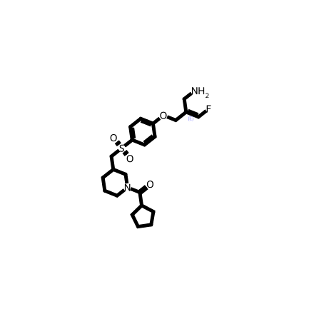 NC/C(=C\F)COc1ccc(S(=O)(=O)CC2CCCN(C(=O)C3CCCC3)C2)cc1